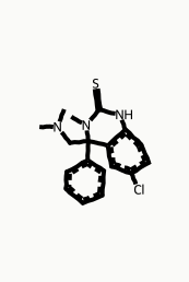 CN(C)CC1(c2ccccc2)c2cc(Cl)ccc2NC(=S)N1C